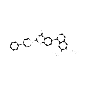 COc1cc2ccnc(-c3ccc4[nH]c(N5C=CC(c6ccccc6)=CC5)nc(=O)c4c3)c2cc1OC